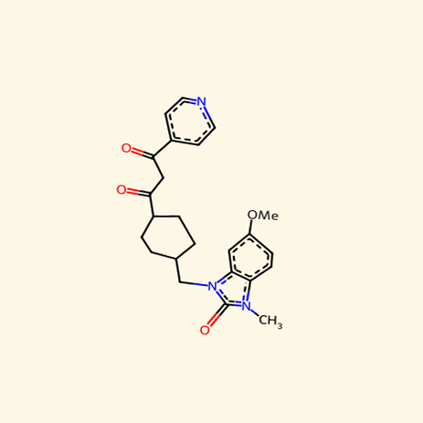 COc1ccc2c(c1)n(CC1CCC(C(=O)CC(=O)c3ccncc3)CC1)c(=O)n2C